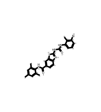 Cc1cc(C)c(NC(=O)c2ccc3nc(NC(=O)Nc4cccc(Br)c4C)sc3c2)c(C)c1